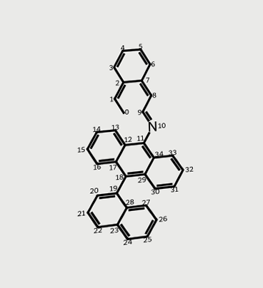 C/C=c1/cccc/c1=C/C=N/c1c2ccccc2c(-c2cccc3ccccc23)c2ccccc12